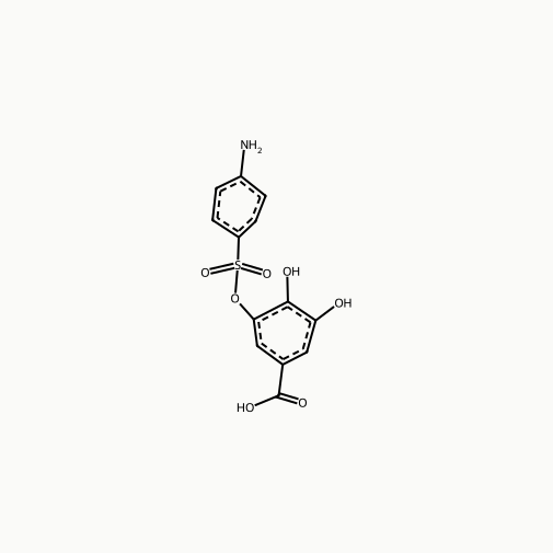 Nc1ccc(S(=O)(=O)Oc2cc(C(=O)O)cc(O)c2O)cc1